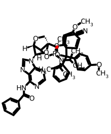 COc1ccc(C(O[C@@H](C)[C@@]23CO[C@@H]([C@H](n4cnc5c(NC(=O)c6ccccc6)ncnc54)O2)[C@@H]3OP(OCCC#N)N(C(C)C)C(C)C)(c2ccccc2)c2ccc(OC)cc2)cc1